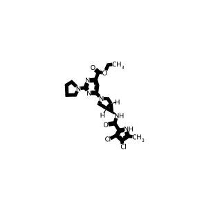 CCOC(=O)c1cc(N2C[C@@H]3[C@H](C2)[C@@H]3NC(=O)c2[nH]c(C)c(Cl)c2Cl)nc(N2CCCC2)n1